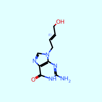 Nc1nc2c(ncn2C/C=C/CO)c(=O)[nH]1